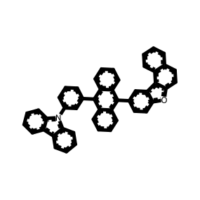 c1cc(-c2c3ccccc3c(-c3ccc4oc5ccc6ccccc6c5c4c3)c3ccccc23)cc(-n2c3ccccc3c3ccccc32)c1